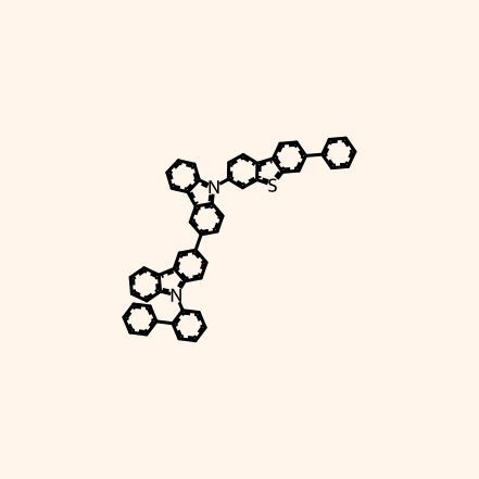 c1ccc(-c2ccc3c(c2)sc2cc(-n4c5ccccc5c5cc(-c6ccc7c(c6)c6ccccc6n7-c6ccccc6-c6ccccc6)ccc54)ccc23)cc1